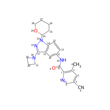 Cc1cc(C#N)cnc1C(=O)Nc1ccc2c(c1)c(N1CCC1)nn2C1CCCCO1